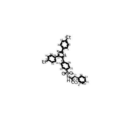 CCc1ccc(-c2nc(-c3ccc(S(=O)(=O)NC(Cc4ccccc4)C(=O)O)cc3)c(-c3ccc(CC)cc3)s2)cc1